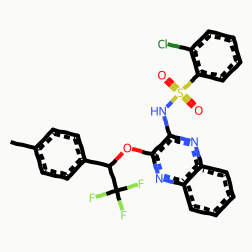 Cc1ccc(C(Oc2nc3ccccc3nc2NS(=O)(=O)c2ccccc2Cl)C(F)(F)F)cc1